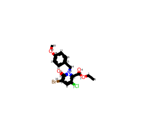 CCOC(=O)c1c(Cl)cc(Br)c(=O)n1Cc1ccc(OC)cc1